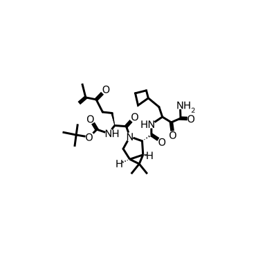 C=C(C)C(=O)CC[C@H](NC(=O)OC(C)(C)C)C(=O)N1C[C@H]2[C@@H]([C@H]1C(=O)NC(CC1CCC1)C(=O)C(N)=O)C2(C)C